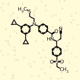 CCS(=O)(=O)c1ccc([C@H](CC#N)NC(=O)c2ccc(N(CCSC)c3cc(C4CC4)cc(C4CC4)c3)cc2)cc1